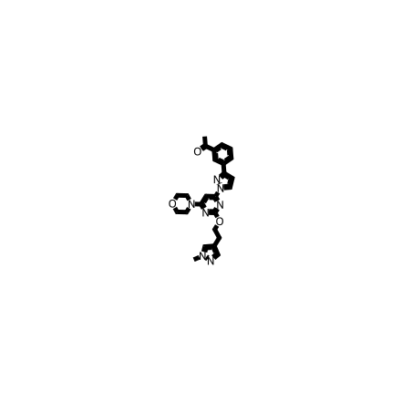 CC(=O)c1cccc(-c2ccn(-c3cc(N4CCOCC4)nc(OCCc4cnn(C)c4)n3)n2)c1